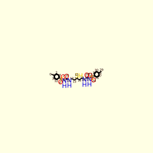 Cc1ccc(S(=O)(=O)NC(=O)NCCC(S)CCNC(=O)NS(=O)(=O)c2ccc(C)cc2)cc1